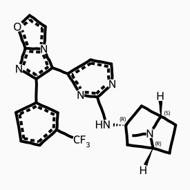 CN1[C@@H]2CC[C@H]1C[C@@H](Nc1nccc(-c3c(-c4cccc(C(F)(F)F)c4)nc4occn34)n1)C2